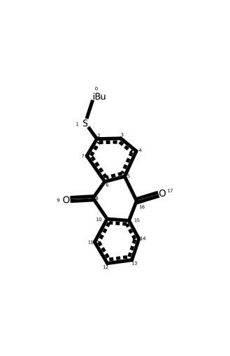 CCC(C)Sc1ccc2c(c1)C(=O)c1ccccc1C2=O